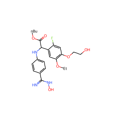 CCCCOC(=O)C(Nc1ccc(C(=N)NO)cc1)c1cc(OCC)c(OCCO)cc1F